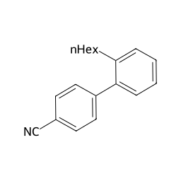 CCCCCCc1ccccc1-c1ccc(C#N)cc1